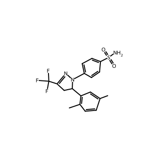 Cc1ccc(C)c(C2CC(C(F)(F)F)=NN2c2ccc(S(N)(=O)=O)cc2)c1